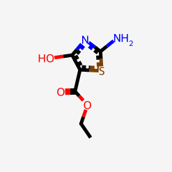 CCOC(=O)c1sc(N)nc1O